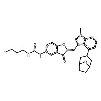 Cn1cc(/C=C2\Oc3ccc(NC(=O)NCCCCl)cc3C2=O)c2c(N3CC4CCC(C3)O4)ccnc21